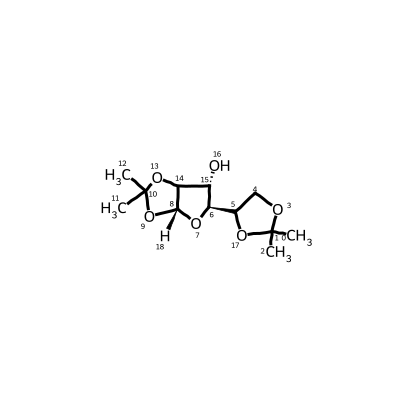 CC1(C)OCC([C@H]2O[C@@H]3OC(C)(C)OC3[C@@H]2O)O1